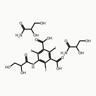 NC(=O)C(O)CO.NC(=O)C(O)CO.O=C(O)c1c(I)c(NC(=O)C(O)CO)c(I)c(C(=O)O)c1I